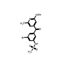 COc1cc(C(=O)c2cc(Br)cc(NS(C)(=O)=O)c2)cc(C)n1